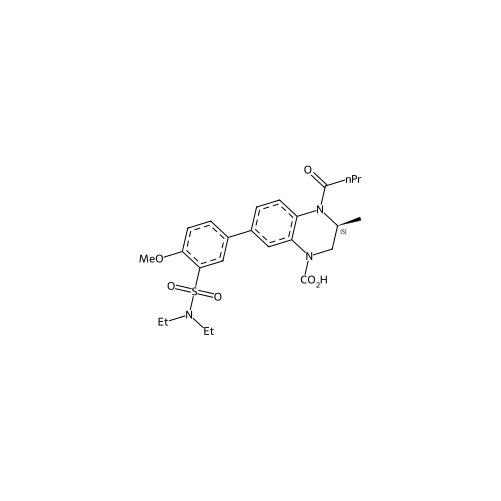 CCCC(=O)N1c2ccc(-c3ccc(OC)c(S(=O)(=O)N(CC)CC)c3)cc2N(C(=O)O)C[C@@H]1C